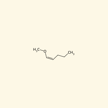 CCC/C=C\OC